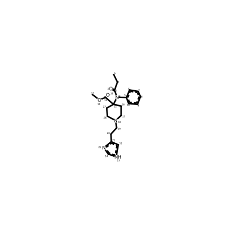 CCC(=O)N(c1ccccc1)C1(C(=O)OC)CCN(CCc2c[nH]cn2)CC1